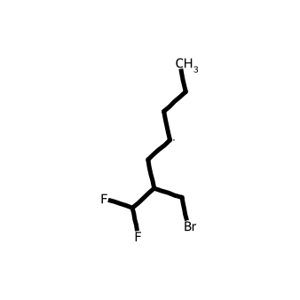 CCC[CH]CC(CBr)C(F)F